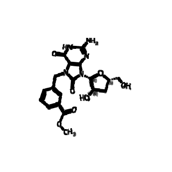 COC(=O)c1cccc(Cn2c(=O)n([C@@H]3O[C@H](CO)C[C@H]3O)c3nc(N)[nH]c(=O)c32)c1